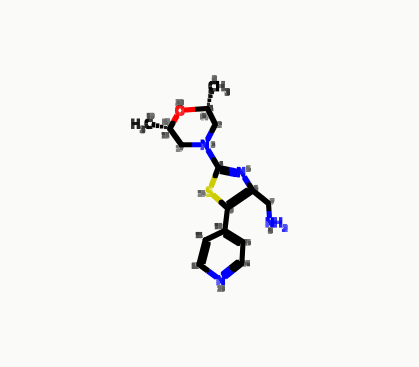 C[C@@H]1CN(c2nc(CN)c(-c3ccncc3)s2)C[C@H](C)O1